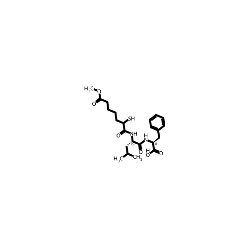 COC(=O)CCCCC(S)C(=O)N[C@@H](CC(C)C)C(=O)N[C@@H](Cc1ccccc1)C(=O)O